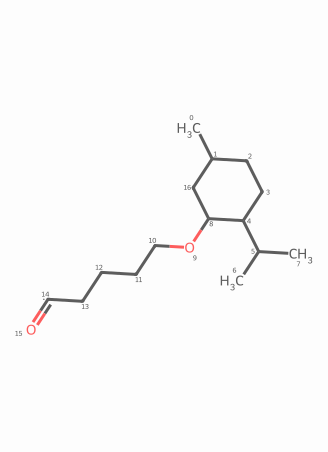 CC1CCC(C(C)C)C(OCCCC[C]=O)C1